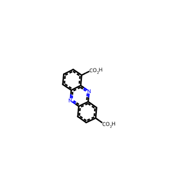 O=C(O)c1ccc2nc3cccc(C(=O)O)c3nc2c1